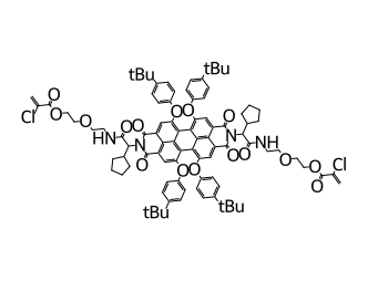 C=C(Cl)C(=O)OCCOCCNC(=O)C(C1CCCC1)N1C(=O)c2cc(Oc3ccc(C(C)(C)C)cc3)c3c4c(Oc5ccc(C(C)(C)C)cc5)cc5c6c(cc(Oc7ccc(C(C)(C)C)cc7)c(c7c(Oc8ccc(C(C)(C)C)cc8)cc(c2c37)C1=O)c64)C(=O)N(C(C(=O)NCCOCCOC(=O)C(=C)Cl)C1CCCC1)C5=O